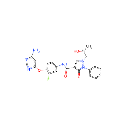 C[C@@H](O)Cn1cc(C(=O)Nc2ccc(Oc3cc(N)ncn3)c(F)c2)c(=O)n1-c1ccccc1